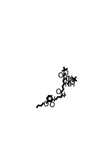 CCCCOc1cccn(CCCN(C)C(=O)CCC(CNC(=O)OC(C)(C)C)NC(=O)OC(C)(C)C)c1=O